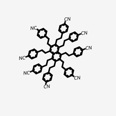 N#Cc1ccc(CCc2c(CCc3ccc(C#N)cc3)c(CCc3ccc(C#N)cc3)c3c(CCc4ccc(C#N)cc4)c(CCc4ccc(C#N)cc4)c(CCc4ccc(C#N)cc4)c(CCc4ccc(C#N)cc4)c3c2CCc2ccc(C#N)cc2)cc1